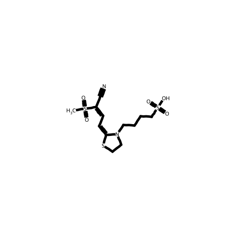 CS(=O)(=O)/C(C#N)=C\C=C1\SCCN1CCCCS(=O)(=O)O